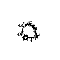 CN1CC(=O)N(C)c2cccc(c2)Nc2ncc(F)c(n2)Nc2ccc3c(c2)NC(=O)C(C)(O3)C1=O